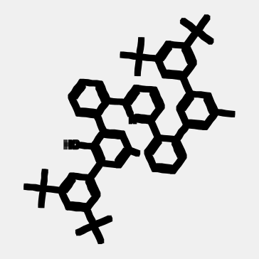 Cc1cc(-c2cc(C(C)(C)C)cc(C(C)(C)C)c2)cc(-c2ccccc2-c2cccc(-c3ccccc3-c3cc(C)cc(-c4cc(C(C)(C)C)cc(C(C)(C)C)c4)c3O)n2)c1